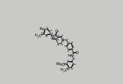 COc1cc(CNC(=O)c2ccc(CN3C=C4C(=O)N(c5ccc(F)c(C)c5)N=C4CC3)cc2)ccc1C